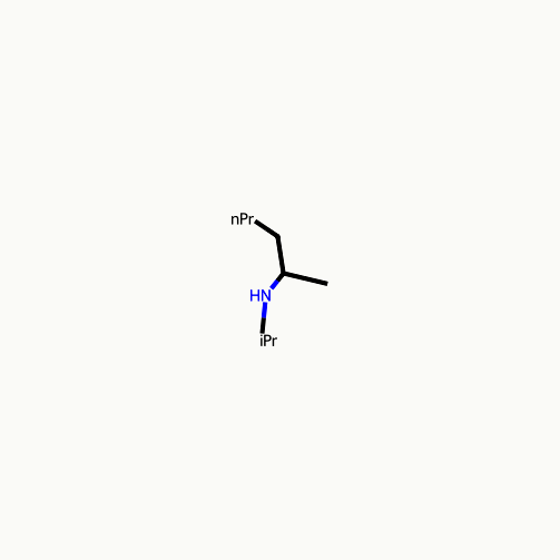 CCCCC(C)NC(C)C